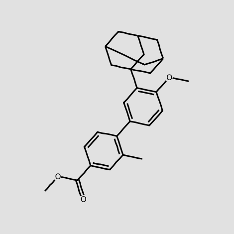 COC(=O)c1ccc(-c2ccc(OC)c(C34CC5CC(CC(C5)C3)C4)c2)c(C)c1